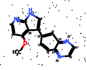 COc1ccnc2[nH]cc(-c3ccc4nccnc4c3)c12